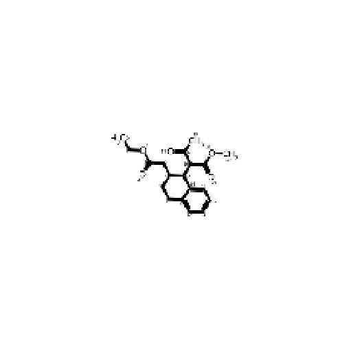 CCOC(=O)CC1CCc2ccccc2C1C(C(C)=O)C(=O)OC